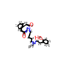 CC(C)N(CCCCN1C(=O)CC2(CCCC2)CC1=O)CCc1ccccc1O